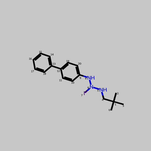 CC(C)(C)CNN(I)Nc1ccc(-c2ccccc2)cc1